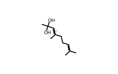 CC(C)=CCC/C(C)=C/C(C)(O)O